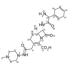 CN1CCN(NC(=O)CC2=C(C(=O)O)N3C(=O)[C@@H](NC(=O)C(N)C4=CCC=CC4)[C@@H]3SC2)CC1